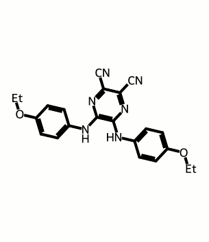 CCOc1ccc(Nc2nc(C#N)c(C#N)nc2Nc2ccc(OCC)cc2)cc1